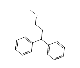 CC[CH]NCCC(c1ccccc1)c1ccccc1